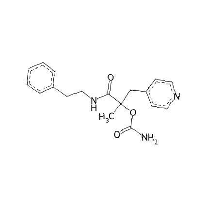 CC(Cc1ccncc1)(OC(N)=O)C(=O)NCCc1ccccc1